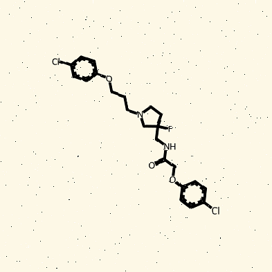 O=C(COc1ccc(Cl)cc1)NCC1(F)CCN(CCCOc2ccc(Cl)cc2)C1